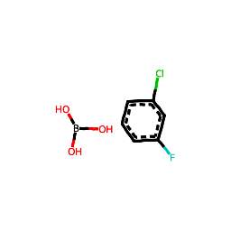 Fc1cccc(Cl)c1.OB(O)O